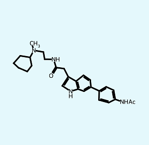 CC(=O)Nc1ccc(-c2ccc3c(CC(=O)NCCN(C)C4CCCCC4)c[nH]c3c2)cc1